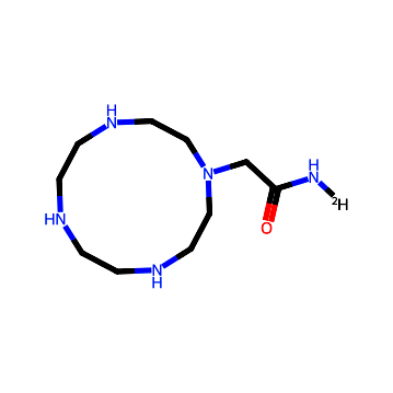 [2H]NC(=O)CN1CCNCCNCCNCC1